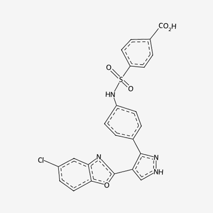 O=C(O)c1ccc(S(=O)(=O)Nc2ccc(-c3n[nH]cc3-c3nc4cc(Cl)ccc4o3)cc2)cc1